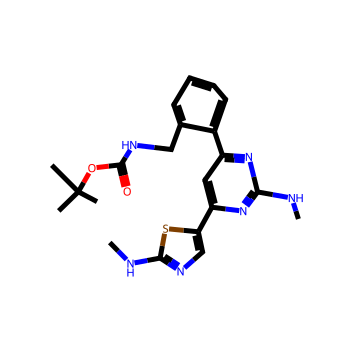 CNc1nc(-c2cnc(NC)s2)cc(-c2ccccc2CNC(=O)OC(C)(C)C)n1